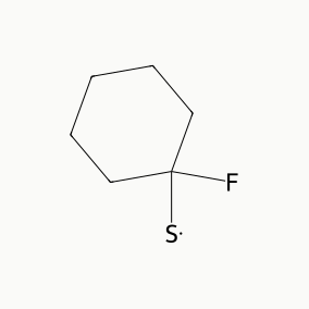 FC1([S])CCCCC1